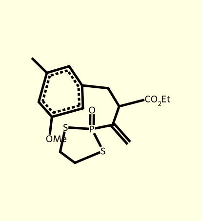 C=C(C(Cc1cc(C)cc(OC)c1)C(=O)OCC)P1(=O)SCCS1